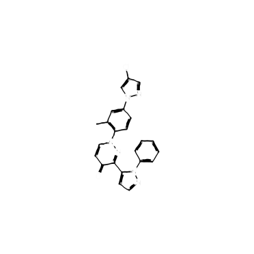 Cc1cc(-n2cc(Cl)cn2)ccc1-n1ccc(=O)c(-c2ccnn2-c2ccccc2)n1